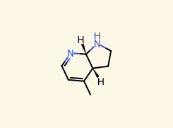 CC1=CC=N[C@@H]2NCC[C@H]12